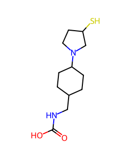 O=C(O)NCC1CCC(N2CCC(S)C2)CC1